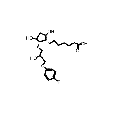 O=C(O)CCCCCC[C@H]1C(O)CC(O)[C@@H]1SCC(O)COc1ccc(F)cc1